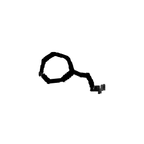 O=C(O)CC1CCCOCC1